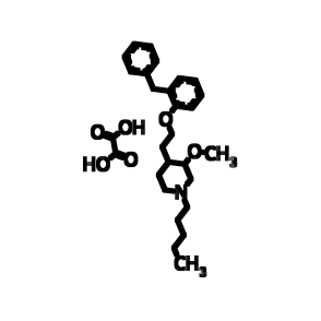 CCCCCN1CCC(CCOc2ccccc2Cc2ccccc2)C(OC)C1.O=C(O)C(=O)O